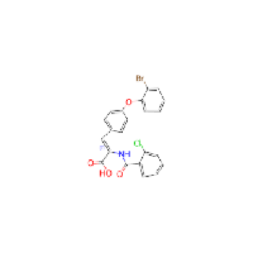 O=C(O)/C(=C/c1ccc(Oc2ccccc2Br)cc1)NC(=O)c1ccccc1Cl